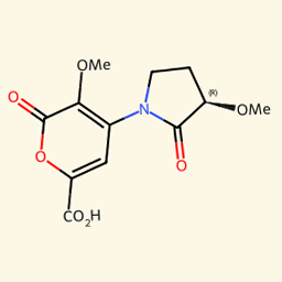 COc1c(N2CC[C@@H](OC)C2=O)cc(C(=O)O)oc1=O